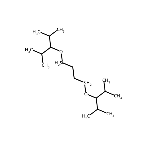 CC(C)C(O[SiH2]CC[SiH2]OC(C(C)C)C(C)C)C(C)C